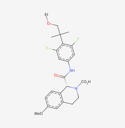 CCOCC(C)(C)c1c(F)cc(NC(=O)[C@H]2c3ccc(OC)cc3CCN2C(=O)O)cc1F